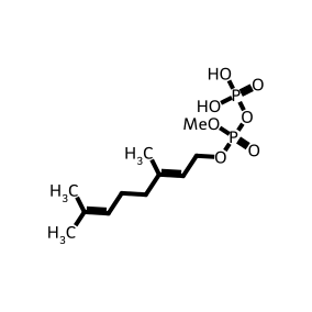 COP(=O)(OC/C=C(\C)CCC=C(C)C)OP(=O)(O)O